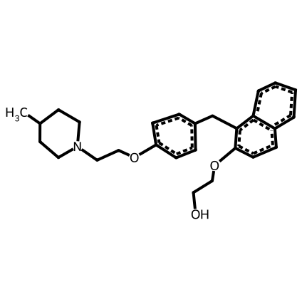 CC1CCN(CCOc2ccc(Cc3c(OCCO)ccc4ccccc34)cc2)CC1